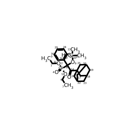 CCOP(=O)(OCC)C(O[Si](C)(C)C)(C(=O)C12CC3CC(CC(C3)C1)C2)c1ccccc1